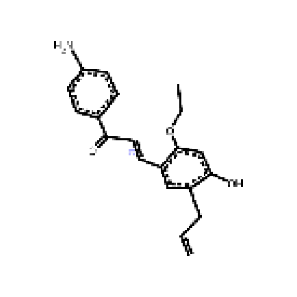 C=CCc1cc(/C=C/C(=O)c2ccc(N)cc2)c(OCC)cc1O